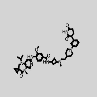 COc1cc(C(=O)NC2CC(N(C)CCC3CCN(c4cccc(C5CCC(=O)NC5=O)c4)CC3)C2)ccc1Nc1cc2c(cn1)N(C)C(=O)C1(CC1)CN2C(C)C